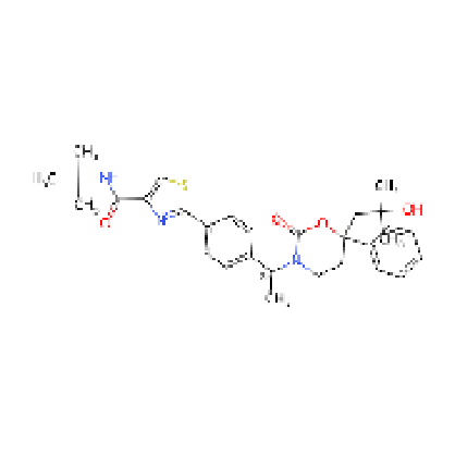 C[C@@H](c1ccc(-c2nc(C(=O)NC(C)(C)C)cs2)cc1)N1CCC(CC(C)(C)O)(c2ccccc2)OC1=O